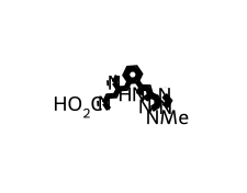 CNc1nc2[nH]c(-c3ccccc3CC(CCN(C)C(=O)O)N(C)C)cc2c2c1ncn2C